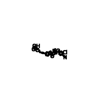 CC1(C)C(Oc2ccc(C#N)c(Cl)c2)C(C)(C)C1N1Cc2cc(C#CCCOCC(=O)O)ccc2C1=O